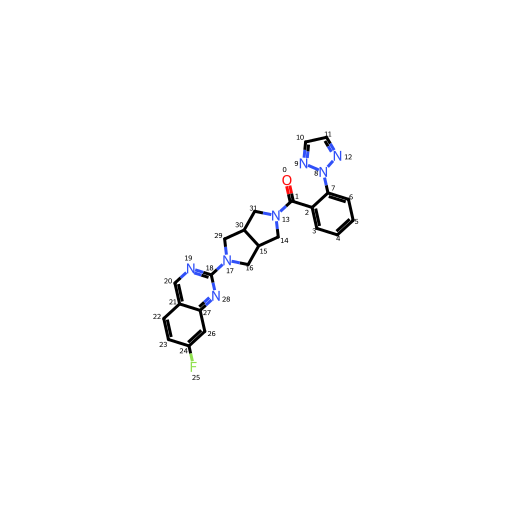 O=C(c1ccccc1-n1nccn1)N1CC2CN(c3ncc4ccc(F)cc4n3)CC2C1